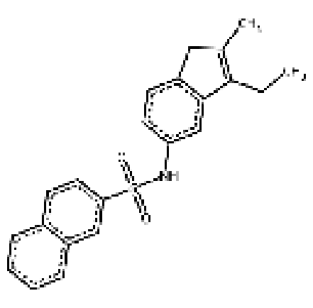 CCC1=C(C)Cc2ccc(NS(=O)(=O)c3ccc4ccccc4c3)cc21